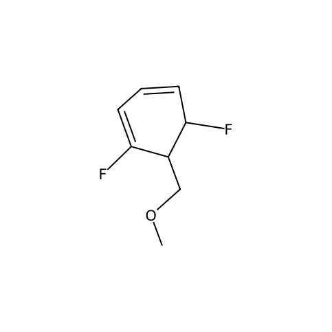 COCC1C(F)=CC=CC1F